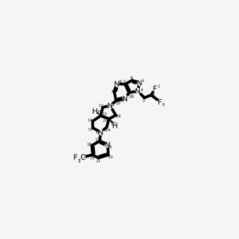 FC(F)Cn1ncc2ncc(N3C[C@@H]4CCN(c5cc(C(F)(F)F)ccn5)C[C@H]4C3)nc21